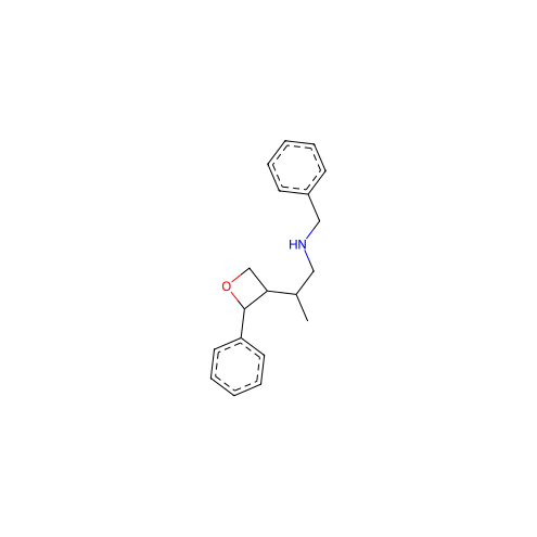 CC(CNCc1ccccc1)C1COC1c1ccccc1